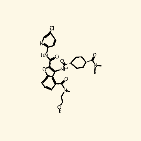 COCCN(C)C(=O)c1cccc2oc(C(=O)Nc3ccc(Cl)cn3)c(NC(=O)[C@H]3CC[C@H](C(=O)N(C)C)CC3)c12